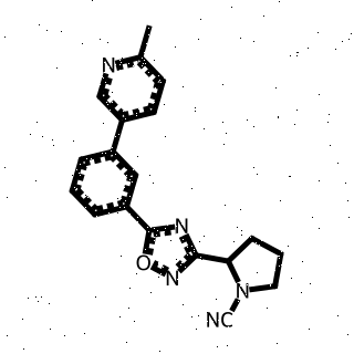 Cc1ccc(-c2cccc(-c3nc(C4CCCN4C#N)no3)c2)cn1